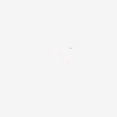 CC[O][La]([O]C)([O]C)[O]C